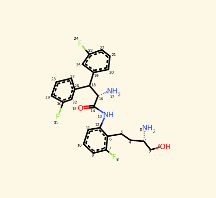 N[C@H](CO)CCc1c(F)cccc1NC(=O)[C@@H](N)C(c1cccc(F)c1)c1cccc(F)c1